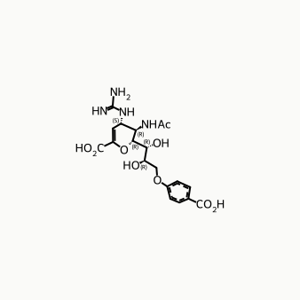 CC(=O)N[C@H]1[C@H]([C@H](O)[C@H](O)COc2ccc(C(=O)O)cc2)OC(C(=O)O)=C[C@@H]1NC(=N)N